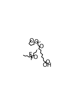 CCCCC(F)(F)C(=O)CCC[C@@H](CCCCCCC(=O)O)C(=O)C[C@H](C)OC1CCCCO1